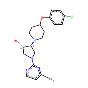 O[C@H]1CN(c2nccc(C(F)(F)F)n2)C[C@@H]1N1CCC(Oc2ccc(Cl)cc2)CC1